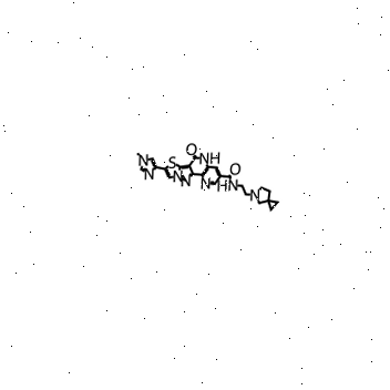 Cn1cnc(-c2cn3nc4c5ncc(C(=O)NCCN6CCC7(CC7)C6)cc5[nH]c(=O)c4c3s2)c1